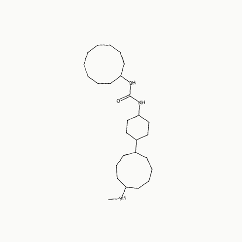 CBC1CCCCC(C2CCC(NC(=O)BC3CCCCCCCCC3)CC2)CCC1